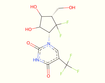 O=c1[nH]c(=O)n([C@@H]2C(O)C(O)[C@H](CO)C2(F)F)cc1C(F)(F)F